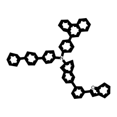 c1ccc(-c2ccc(-c3ccc(N(c4ccc(-c5cc6ccccc6c6ccccc56)cc4)c4ccc5cc(-c6cccc(-c7cc8ccccc8o7)c6)ccc5c4)cc3)cc2)cc1